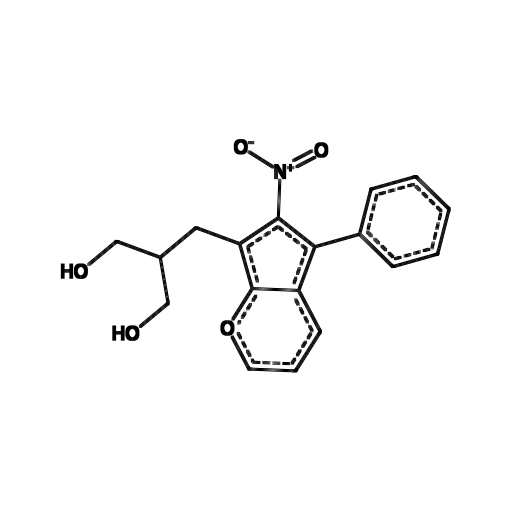 O=[N+]([O-])c1c(CC(CO)CO)c2occcc-2c1-c1ccccc1